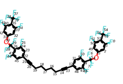 Fc1cc(OC(F)(F)c2c(F)cc(C#CCCCCCC#Cc3cc(F)c(C(F)(F)Oc4cc(F)c(C(F)(F)F)c(F)c4)c(F)c3)cc2F)cc(F)c1C(F)(F)F